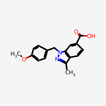 COc1ccc(Cn2nc(C)c3ccc(C(=O)O)cc32)cc1